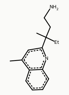 CCC(C)(CCN)c1cc(C)c2ccccc2n1